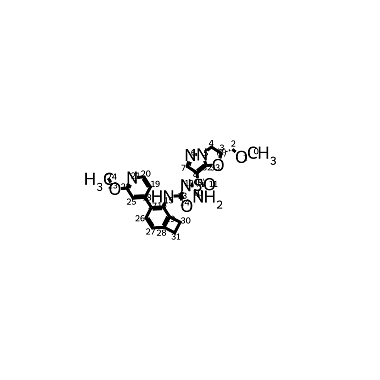 COC[C@H]1Cn2ncc([S@](N)(=O)=NC(=O)Nc3c(-c4ccnc(OC)c4)ccc4c3CC4)c2O1